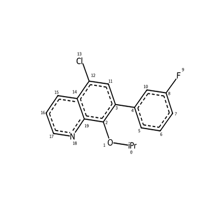 CC(C)Oc1c(-c2cccc(F)c2)cc(Cl)c2cccnc12